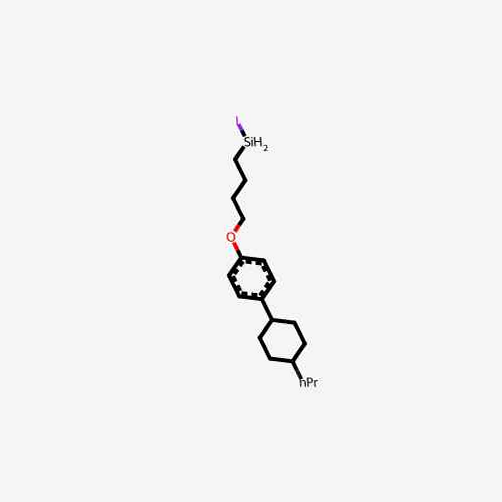 CCCC1CCC(c2ccc(OCCCC[SiH2]I)cc2)CC1